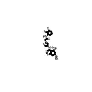 CCOc1cc(O)c2c(Nc3cnn(CC(=O)Nc4cccc(F)c4F)c3)ncnc2c1